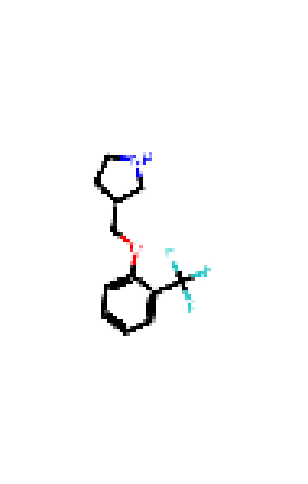 FC(F)(F)c1ccccc1OC[C@H]1CCNC1